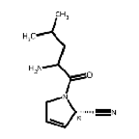 CC(C)CC(N)C(=O)N1CC=C[C@H]1C#N